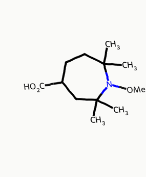 CON1C(C)(C)CCC(C(=O)O)CC1(C)C